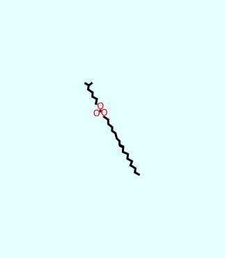 CCCCCCCCC=CCCCCCCCCOC(=O)OCCCCCC(C)C